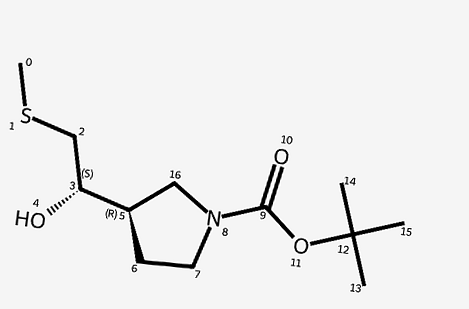 CSC[C@@H](O)[C@@H]1CCN(C(=O)OC(C)(C)C)C1